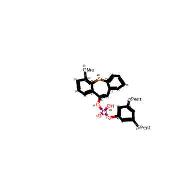 CCCCCc1cc(CCCCC)cc(OP(=O)(O)OC2=Cc3ccccc3Sc3c(OC)cccc32)c1